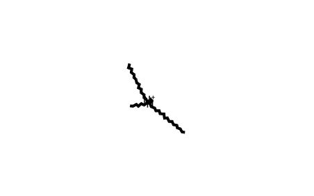 CCCCCCCCCCCCCCCCn1cc[n+](CCCCCCCCCCCCCC)c1CCCCCC